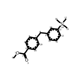 COC(=O)c1ccc(Cc2cccc([Si](C)(C)C)c2)cc1